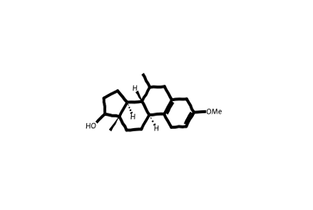 COC1=CCC2=C(C1)CC(C)[C@@H]1[C@@H]2CC[C@]2(C)C(O)CC[C@@H]12